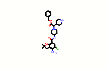 CC1(C)Cc2c(N)c(Cl)cc(C(=O)NC3CCN(C(C(=O)OCc4ccccc4)C4CCNCC4)CC3)c2O1